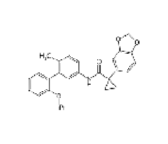 Cc1ccc(NC(=O)C2(c3ccc4c(c3)OCO4)CC2)cc1-c1ccccc1OC(C)C